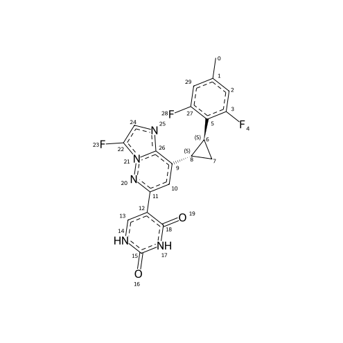 Cc1cc(F)c([C@H]2C[C@@H]2c2cc(-c3c[nH]c(=O)[nH]c3=O)nn3c(F)cnc23)c(F)c1